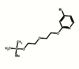 CC(C)(C)[Si](C)(C)OCCOCCOc1cc(Br)ccn1